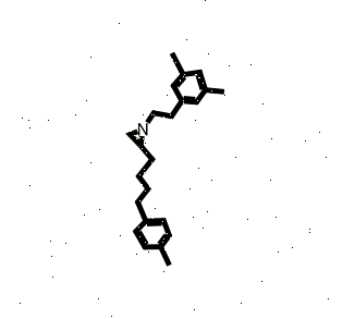 Cc1ccc(CCCCC2CN2CCc2cc(C)cc(C)c2)cc1